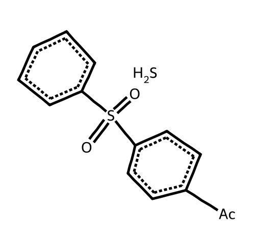 CC(=O)c1ccc(S(=O)(=O)c2ccccc2)cc1.S